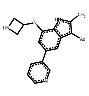 CC(=O)c1c(C)[nH]c2c(NC3CNC3)cc(-c3cccnc3)cc12